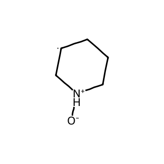 [O-][NH+]1C[CH]CCC1